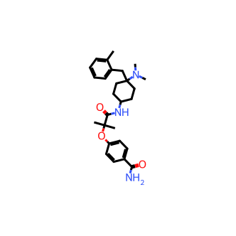 Cc1ccccc1CC1(N(C)C)CCC(NC(=O)C(C)(C)Oc2ccc(C(N)=O)cc2)CC1